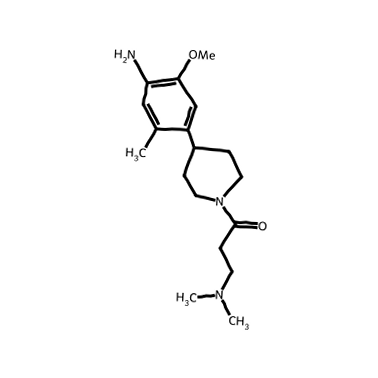 COc1cc(C2CCN(C(=O)CCN(C)C)CC2)c(C)cc1N